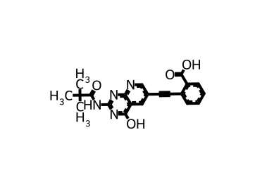 CC(C)(C)C(=O)Nc1nc(O)c2cc(C#Cc3ccccc3C(=O)O)cnc2n1